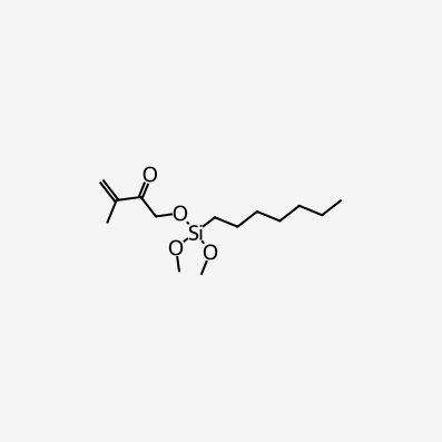 C=C(C)C(=O)CO[Si](CCCCCCC)(OC)OC